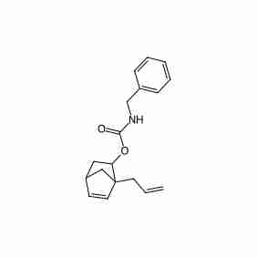 C=CCC12C=CC(CC1OC(=O)NCc1ccccc1)C2